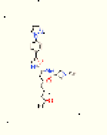 CCC(=O)CCCCC[C@H](NC(=O)C1CN(C(C)=O)C1)c1ncc(-c2ccc(-n3cccn3)cc2)o1